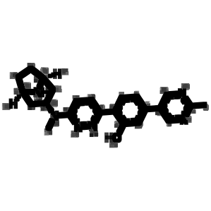 Cc1ncc(-c2ccc(-c3ccc(N(C)[C@H]4C[C@H]5CC[C@@H](C4)N5)nn3)c(O)c2)cn1